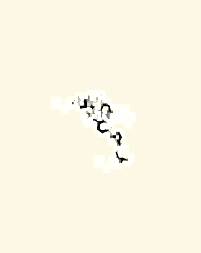 Cc1nn(C)cc1S(=O)(=O)NC(=O)c1ccc(-n2ccc(OCC(C)C(F)(F)F)n2)nc1N1C[C@@H](C)CC1(C)C